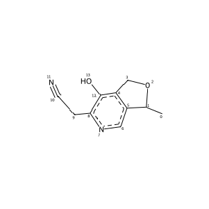 CC1OCc2c1cnc(CC#N)c2O